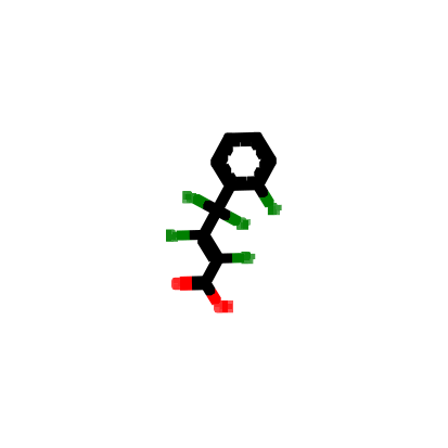 O=C(O)C(Br)=C(Br)C(Br)(Br)c1ccccc1Br